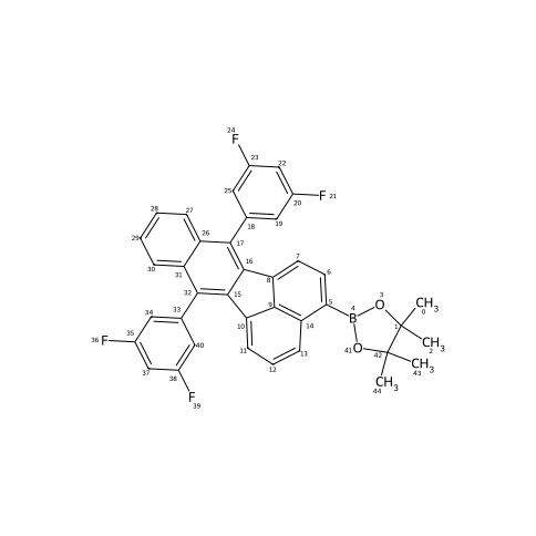 CC1(C)OB(c2ccc3c4c(cccc24)-c2c-3c(-c3cc(F)cc(F)c3)c3ccccc3c2-c2cc(F)cc(F)c2)OC1(C)C